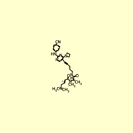 C[C@@H](C(=O)NCCCC#Cc1cnc(Nc2ccc(C#N)cc2)nc1N1CCC1)N(C)C(=O)/C=C/CN(C)C